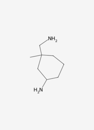 CC1(CN)CCCC(N)C1